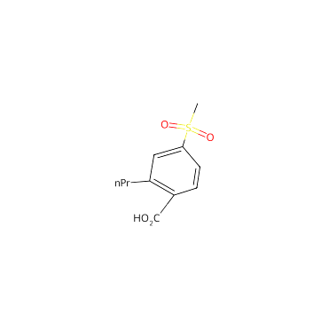 CCCc1cc(S(C)(=O)=O)ccc1C(=O)O